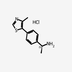 Cc1ncsc1-c1ccc([C@H](C)N)cc1.Cl